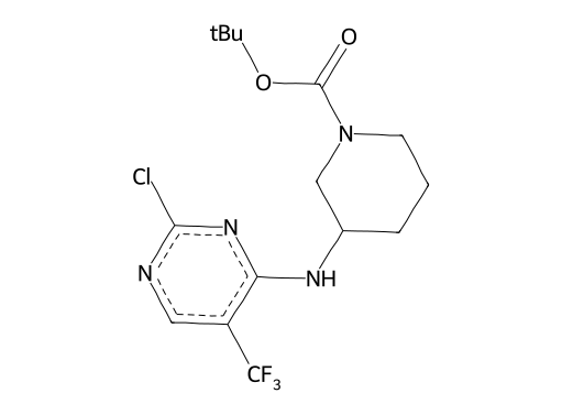 CC(C)(C)OC(=O)N1CCCC(Nc2nc(Cl)ncc2C(F)(F)F)C1